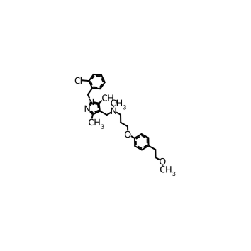 COCCc1ccc(OCCCN(C)Cc2c(C)nn(Cc3ccccc3Cl)c2C)cc1